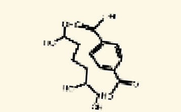 O=C(O)c1ccc(C(=O)O)cc1.OCC(O)CCCC(O)O